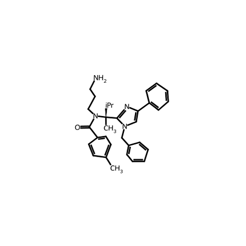 Cc1ccc(C(=O)N(CCCN)[C@@](C)(c2nc(-c3ccccc3)cn2Cc2ccccc2)C(C)C)cc1